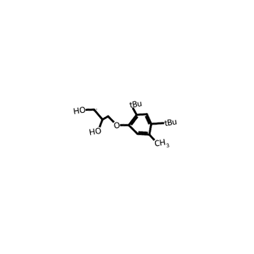 Cc1cc(OCC(O)[CH]O)c(C(C)(C)C)cc1C(C)(C)C